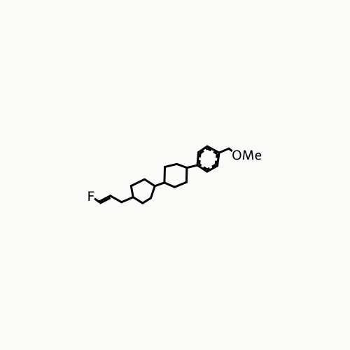 COCc1ccc(C2CCC(C3CCC(CC=CF)CC3)CC2)cc1